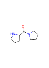 O=C(C1CCCN1)N1[CH]CCC1